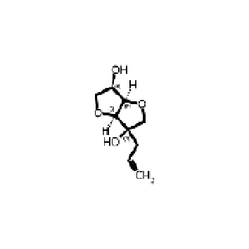 C=CC[C@@]1(O)CO[C@@H]2[C@H](O)CO[C@@H]21